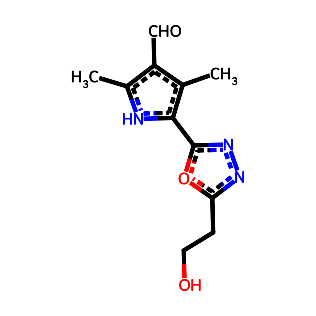 Cc1[nH]c(-c2nnc(CCO)o2)c(C)c1C=O